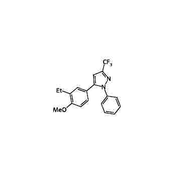 CCc1cc(-c2cc(C(F)(F)F)nn2-c2ccccc2)ccc1OC